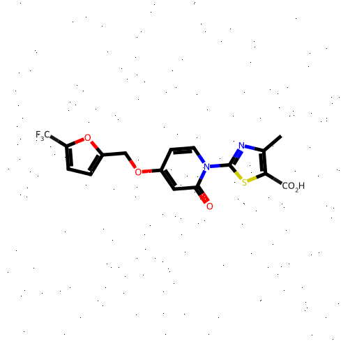 Cc1nc(-n2ccc(OCc3ccc(C(F)(F)F)o3)cc2=O)sc1C(=O)O